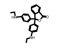 CCNc1ccc(C2(c3ccc(NCC)cc3)OC(=O)c3ccccc32)cc1